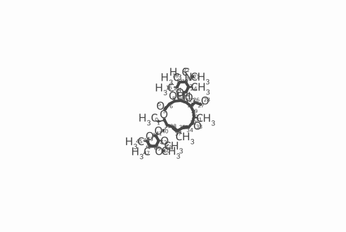 CC[C@H]1OC(=O)C[C@@H](O)[C@H](C)[C@@H](O[C@@H]2O[C@H](C)[C@@H](C)[C@H](N(C)C)[C@H]2C)C(CC=O)C[C@@H](C)C(=O)/C=C/C(C)=C/[C@@H]1CO[C@@H]1O[C@H](C)[C@@H](C)[C@@H](OC)[C@H]1OC